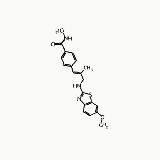 COc1ccc2nc(NCC(C)=Cc3ccc(C(=O)NO)cc3)sc2c1